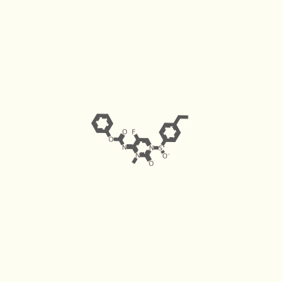 CCc1ccc([S+]([O-])n2cc(F)/c(=N\C(=O)Oc3ccccc3)n(C)c2=O)cc1